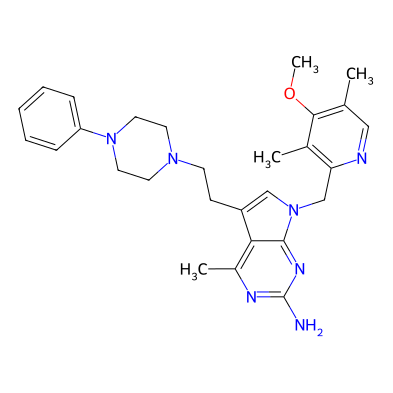 COc1c(C)cnc(Cn2cc(CCN3CCN(c4ccccc4)CC3)c3c(C)nc(N)nc32)c1C